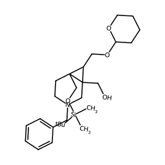 CC(C)(C)[Si](C)(C)OCC12CCN(Cc3ccccc3)CC1(CO)C2COC1CCCCO1